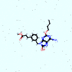 CCCCOc1nc(N)c2nc(O)n(Cc3cccc(CCC(=O)OC)c3)c2n1